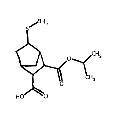 BSC1CC2CC1C(C(=O)OC(C)C)C2C(=O)O